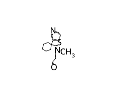 CN(CCC=O)C(=S)C1(c2cccnc2)CCCCC1